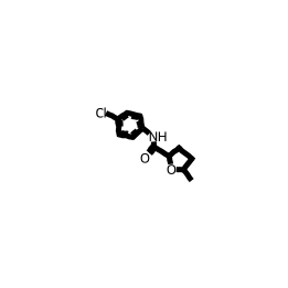 CC1CCC(C(=O)Nc2ccc(Cl)cc2)O1